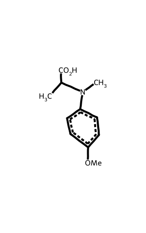 COc1ccc(N(C)C(C)C(=O)O)cc1